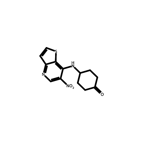 O=C1CCC(Nc2c([N+](=O)[O-])cnc3ccsc23)CC1